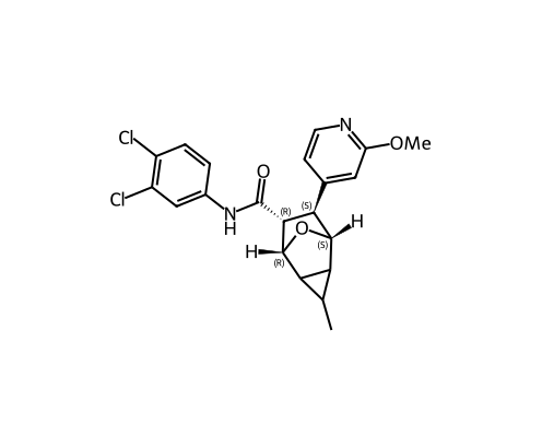 COc1cc([C@@H]2[C@@H](C(=O)Nc3ccc(Cl)c(Cl)c3)[C@@H]3O[C@H]2C2C(C)C23)ccn1